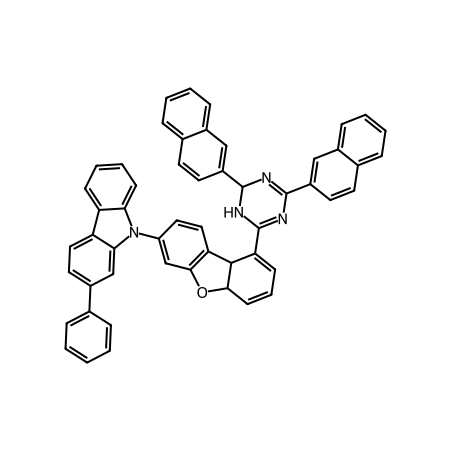 C1=CC2Oc3cc(-n4c5ccccc5c5ccc(-c6ccccc6)cc54)ccc3C2C(C2=NC(c3ccc4ccccc4c3)=NC(c3ccc4ccccc4c3)N2)=C1